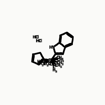 Cl.Cl.[CH3][Ti]([CH3])([CH3])([CH3])([CH3])([CH3])([CH3])([CH3])(=[SiH2])([C]1=CC=CC1)[c]1cc2ccccc2[nH]1